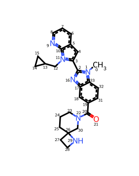 Cn1c(-c2cc3cccnc3n2CC2CC2)nc2cc(C(=O)N3CCCC4(CCN4)C3)ccc21